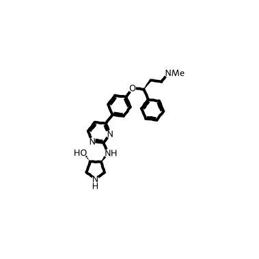 CNCC[C@H](Oc1ccc(-c2ccnc(N[C@H]3CNC[C@@H]3O)n2)cc1)c1ccccc1